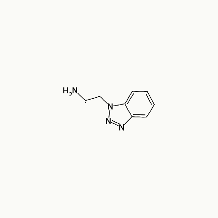 N[CH]Cn1nnc2ccccc21